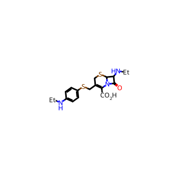 CCNc1ccc(SCC2=C(C(=O)O)N3C(=O)C(NCC)C3SC2)cc1